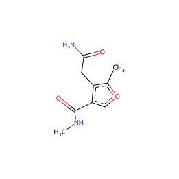 CNC(=O)c1coc(C)c1CC(N)=O